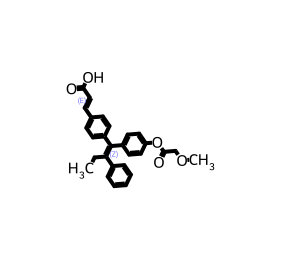 CC/C(=C(\c1ccc(/C=C/C(=O)O)cc1)c1ccc(OC(=O)COC)cc1)c1ccccc1